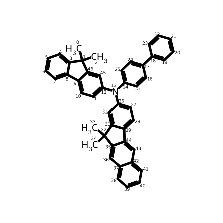 CC1(C)c2ccccc2-c2ccc(N(c3ccc(-c4ccccc4)cc3)c3ccc4c(c3)C(C)(C)c3cc5ccccc5cc3-4)cc21